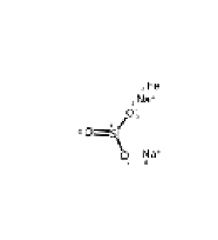 O=[Si]([O-])[O-].[Fe].[Na+].[Na+]